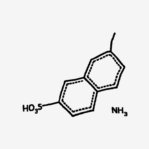 Cc1ccc2ccc(S(=O)(=O)O)cc2c1.N